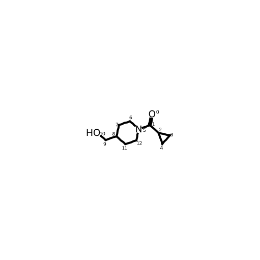 O=C(C1CC1)N1CCC(CO)CC1